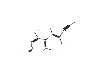 C=C/C=C(/NC)C(=C(C)C)/C(C(C)=O)=C(\C)C#CCC